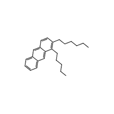 CCCCCCc1ccc2cc3ccccc3cc2c1CCCCC